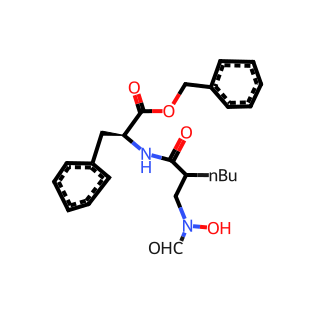 CCCCC(CN(O)C=O)C(=O)N[C@@H](Cc1ccccc1)C(=O)OCc1ccccc1